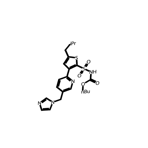 CCCCOC(=O)NS(=O)(=O)c1sc(CC(C)C)cc1-c1ccc(Cn2ccnc2)cn1